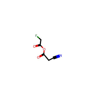 N#CCC(=O)OC(=O)CF